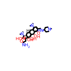 CN1CCC(NCc2cc(N(C)C)c3c(c2O)C(=O)C2=C(O)[C@](O)(C(=O)CC(N)=O)[C@H](C(CO)N(C)C)C[C@@H]2C3)CC1